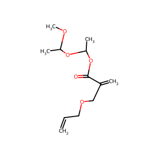 C=CCOCC(=C)C(=O)OC(C)OC(C)OC